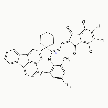 Cc1cc(C)c(N2/C(=C/C=C3C(=O)c4c(Cl)c(Cl)c(Cl)c(Cl)c4C3=O)C3(CCCCC3)c3cc4c5c(cccc5c32)-c2ccccc2-4)c(C)c1